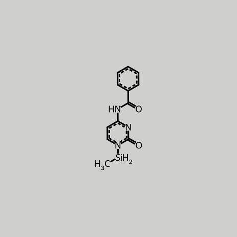 C[SiH2]n1ccc(NC(=O)c2ccccc2)nc1=O